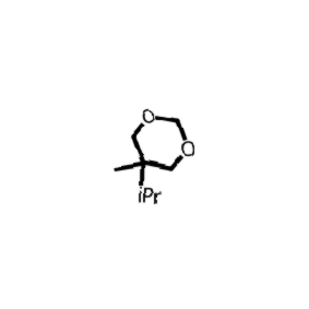 CC(C)C1(C)COCOC1